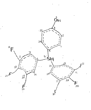 Oc1ccc([SH](c2cc(F)c(F)c(F)c2)c2cc(F)c(F)c(F)c2)cc1